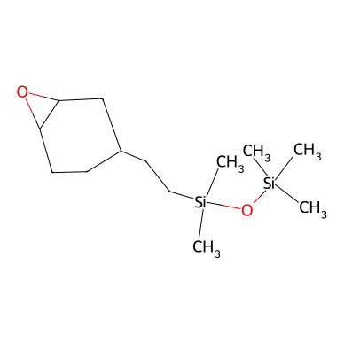 C[Si](C)(C)O[Si](C)(C)CCC1CCC2OC2C1